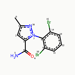 Cc1cc(C(N)=O)n(-c2c(Br)cccc2Br)n1